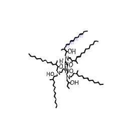 C=C/C=C/C=C/C=C/C=C/C(C)C(O)CN(CCN(CCN(CC(O)CC)CC(O)C(C)CCCCCCCCCC)CCN(CC(O)C(C)CCCCCCCCCC)CC(O)C(C)CCCCCCCCCC)CC(O)C(C)CCCCCCCCCC